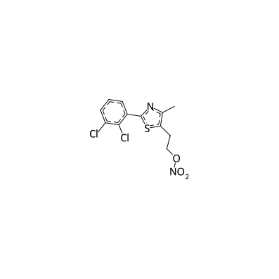 Cc1nc(-c2cccc(Cl)c2Cl)sc1CCO[N+](=O)[O-]